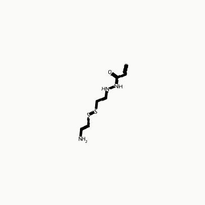 C=CC(=O)NNCCSSCCN